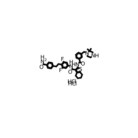 CC1(C)CNCCN1Cc1cccc(C(=O)Nc2sc3c(c2C(=O)Nc2cc(F)c(CCc4ccc(C(N)=O)cc4)c(F)c2)CCCC3)c1.Cl.Cl